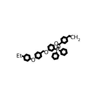 C=Cc1ccc(COc2ccc(OCc3ccc(Oc4ccc(CC)cc4)cc3)cc2P(=O)(c2ccccc2)c2ccccc2)cc1